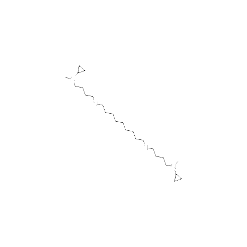 CN(CCCCNCCCCCCCCCNCCCCN(C)C1CC1)C1CC1